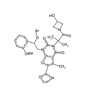 COc1ccccc1C(Cn1c(=O)n(C(C)(C)C(=O)N2CC(O)C2)c(=O)c2c(C)c(-c3ncco3)sc21)OC(C)C